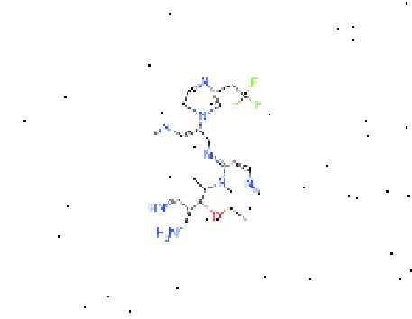 C=N/C=C\C(=N/C/C(=C/N=C)N1C=C(CC(F)(F)F)N=CC1)N1CC(C)OC(/C(C=N)=C/N)C1C